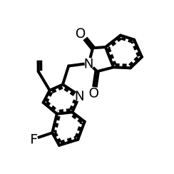 C=Cc1cc2c(F)cccc2nc1CN1C(=O)c2ccccc2C1=O